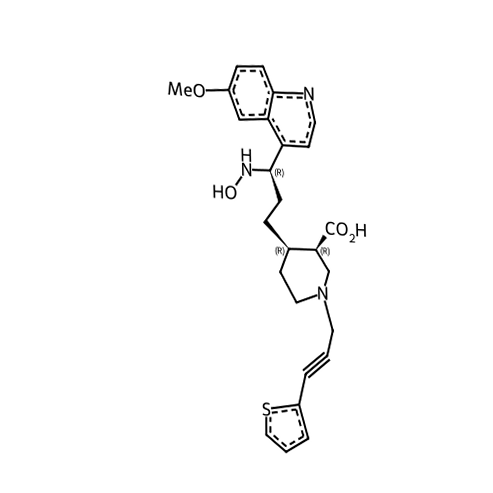 COc1ccc2nccc([C@@H](CC[C@@H]3CCN(CC#Cc4cccs4)C[C@@H]3C(=O)O)NO)c2c1